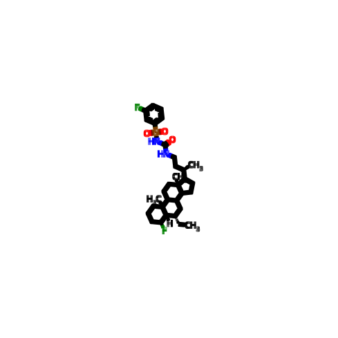 CC[C@H]1CC2C3CCC([C@H](C)CCNC(=O)NS(=O)(=O)c4cccc(F)c4)[C@@]3(C)CCC2[C@@]2(C)CCC[C@H](F)[C@@H]12